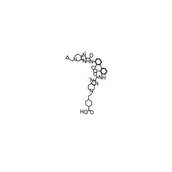 Cn1c(C(=O)Nc2cccc(-c3cccc(NC(=O)c4nc5c(n4C)CCN(CC4CC4)C5)c3Cl)c2Cl)nc2c1CCN(CCC1CCC(C(=O)O)CC1)C2